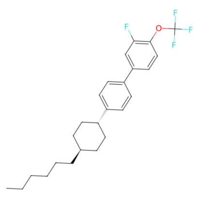 CCCCCC[C@H]1CC[C@H](c2ccc(-c3ccc(OC(F)(F)F)c(F)c3)cc2)CC1